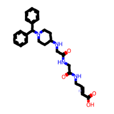 O=C(O)/C=C/CNC(=O)CNC(=O)CNC1CCN(C(c2ccccc2)c2ccccc2)CC1